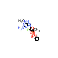 CNc1nc(N)nc2c1ncn2[C@@H]1O[C@](C)(CO[PH](=O)Oc2ccccc2)[C@@H](O)[C@H]1F